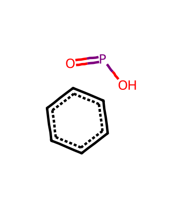 O=PO.c1ccccc1